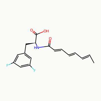 C/C=C/C=C/C=C/C(=O)N[C@@H](Cc1cc(F)cc(F)c1)C(=O)O